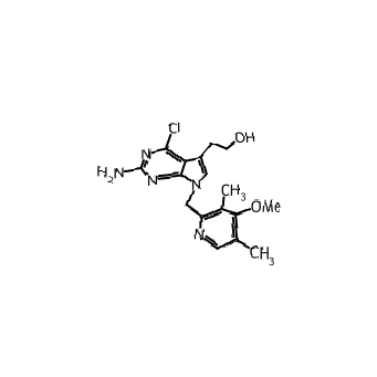 COc1c(C)cnc(Cn2cc(CCO)c3c(Cl)nc(N)nc32)c1C